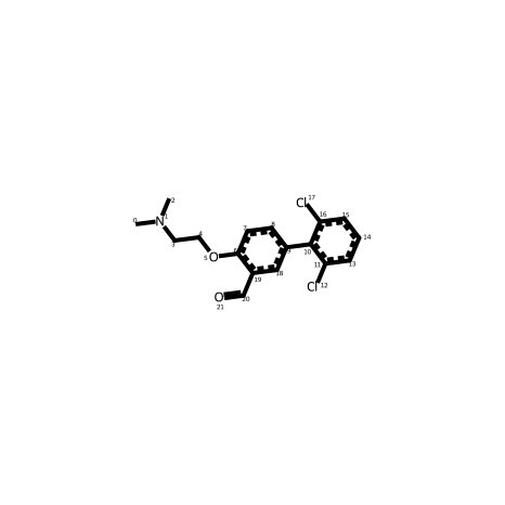 CN(C)CCOc1ccc(-c2c(Cl)cccc2Cl)cc1C=O